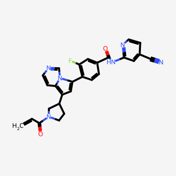 C=CC(=O)N1CCC(c2cc(-c3ccc(C(=O)Nc4cc(C#N)ccn4)cc3F)n3cnccc23)C1